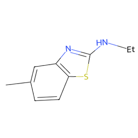 CCNc1nc2cc(C)ccc2s1